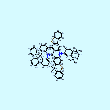 Cc1cc2c(cc1N1c3cc4c(cc3B3c5c1cc1c(sc6ccccc61)c5-c1cccc5c1N3c1ccccc1C5(c1ccccc1)c1ccccc1)C(C)(C)c1ccccc1S4)C(C)(C)CCC2(C)C